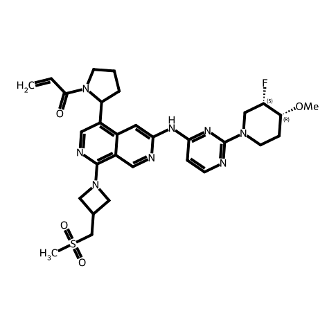 C=CC(=O)N1CCCC1c1cnc(N2CC(CS(C)(=O)=O)C2)c2cnc(Nc3ccnc(N4CC[C@@H](OC)[C@@H](F)C4)n3)cc12